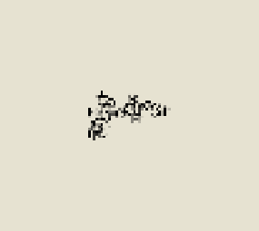 CC(C)(C)OC(=O)N1[C@H](COc2cc(C(F)(F)F)c3c(c2)ncn3C2CC(C)(O[Si](C)(C)C(C)(C)C)C2)CC(OS(=O)(=O)C(F)(F)F)=C[C@@H]1CF